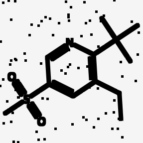 CCc1cc(S(C)(=O)=O)cnc1C(C)(C)C